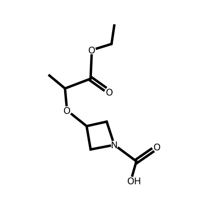 CCOC(=O)C(C)OC1CN(C(=O)O)C1